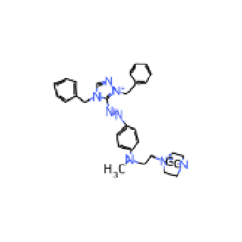 CN(CC[N+]12CCN(CC1)CC2)c1ccc(/N=N/c2n(Cc3ccccc3)cn[n+]2Cc2ccccc2)cc1